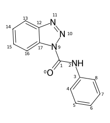 O=C(Nc1ccccc1)n1nnc2ccccc21